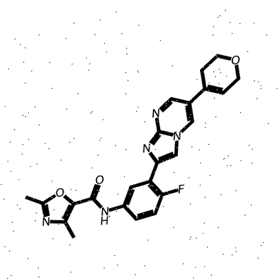 Cc1nc(C)c(C(=O)Nc2ccc(F)c(-c3cn4cc(C5=CCOCC5)cnc4n3)c2)o1